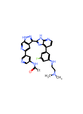 CCC(=O)Nc1cncc(-c2cc3c(-c4nc5c(-c6cc(F)cc(NCCN(C)C)c6)ccnc5[nH]4)n[nH]c3cn2)c1